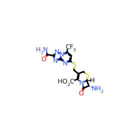 NC(=O)c1nc2nc(SCC3=C(C(=O)O)N4C(=O)[C@@H](N)[C@H]4SC3)cc(C(F)(F)F)n2n1